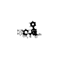 CCCC1(Cl)C2CC3(c4ccccc4)CC1C(C(=S)N1CC[C@H](N)C(C)(C)C1)(C2)C3